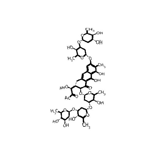 CO[C@H](C(=O)C(C)=O)[C@@H]1Cc2cc3cc(O[C@H]4CC(O[C@H]5C[C@@H](O)[C@H](O)C(C)O5)[C@H](O)C(C)O4)c(C)c(O)c3c(O)c2C(=O)[C@H]1O[C@H]1C[C@@H](O[C@H]2C[C@@H](O[C@H]3C[C@@H](O)[C@H](O)C(C)O3)[C@@H](O)C(C)O2)[C@H](O)C(C)O1